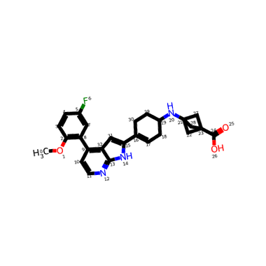 COc1ccc(F)cc1-c1ccnc2[nH]c(C3=CCC(NC45CC(C(=O)O)(C4)C5)CC3)cc12